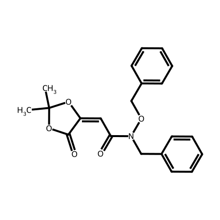 CC1(C)OC(=O)C(=CC(=O)N(Cc2ccccc2)OCc2ccccc2)O1